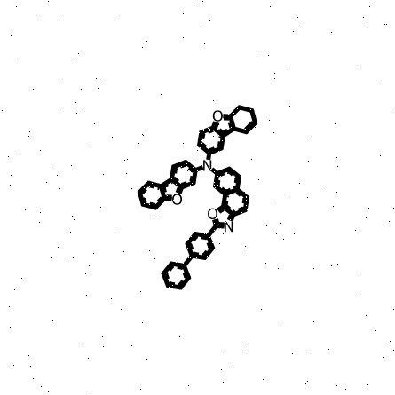 C1=Cc2c(oc3ccc(N(c4ccc5c(c4)oc4ccccc45)c4ccc5ccc6nc(-c7ccc(-c8ccccc8)cc7)oc6c5c4)cc23)CC1